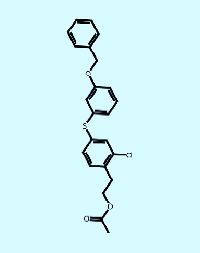 CC(=O)OCCc1ccc(Sc2cccc(OCc3ccccc3)c2)cc1Cl